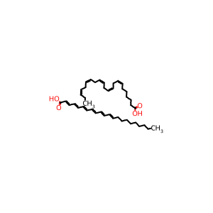 CC/C=C\C/C=C\C/C=C\C/C=C\C/C=C\CCCCCC(=O)O.CCCCCCCCCC=CC=CC=CC=CC=CC=CC(=O)O